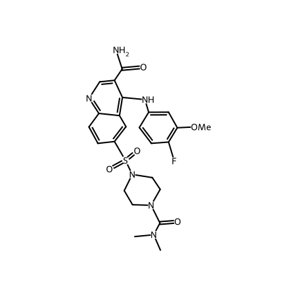 COc1cc(Nc2c(C(N)=O)cnc3ccc(S(=O)(=O)N4CCN(C(=O)N(C)C)CC4)cc23)ccc1F